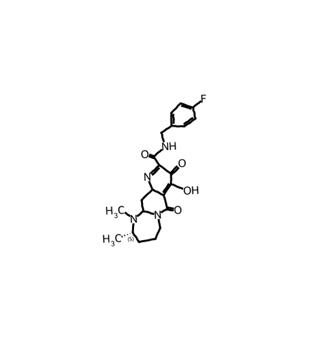 C[C@H]1CCCN2C(=O)C3=C(O)C(=O)C(C(=O)NCc4ccc(F)cc4)=NC3CC2N1C